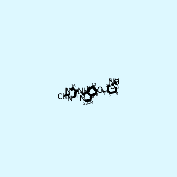 N=[S@@]1(=O)CCC[C@@H](COc2ccc3c(Nc4cnc(Cl)nc4)nccc3c2)C1